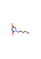 O=C1CC(=O)N(CCCCBr)C1